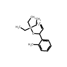 C=CC(O[Si](CC)(CC)CC)c1ccccc1C